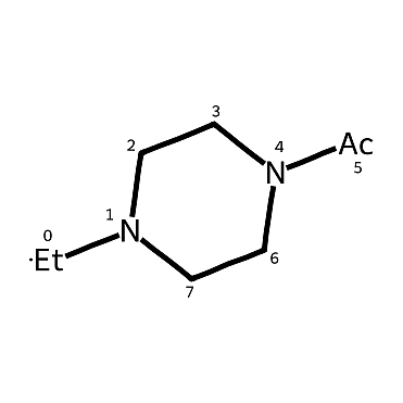 C[CH]N1CCN(C(C)=O)CC1